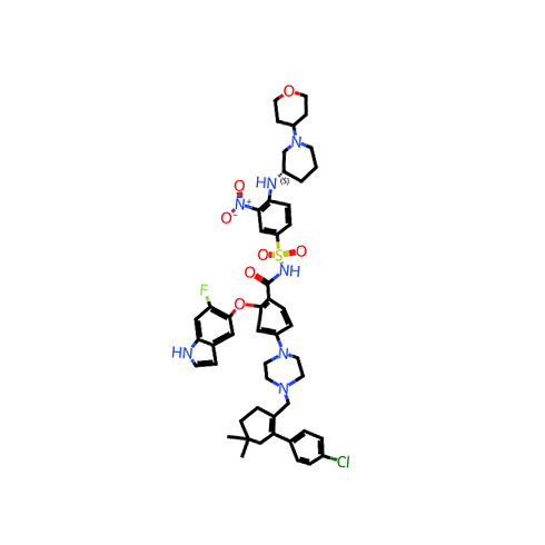 CC1(C)CCC(CN2CCN(c3ccc(C(=O)NS(=O)(=O)c4ccc(N[C@H]5CCCN(C6CCOCC6)C5)c([N+](=O)[O-])c4)c(Oc4cc5cc[nH]c5cc4F)c3)CC2)=C(c2ccc(Cl)cc2)C1